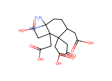 NC1(N)CCC(CC(=O)O)C(CC(=O)O)(CC(=O)O)C1(CC(=O)O)CC(=O)O